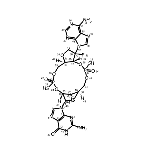 Nc1nc2c(ncn2[C@@H]2S[C@@H]3COP(=O)(S)O[C@@H]4[C@@H](COP(=O)(S)O[C@@H]2[C@@H]3F)OC[C@]4(F)n2cnc3c(N)ncnc32)c(=O)[nH]1